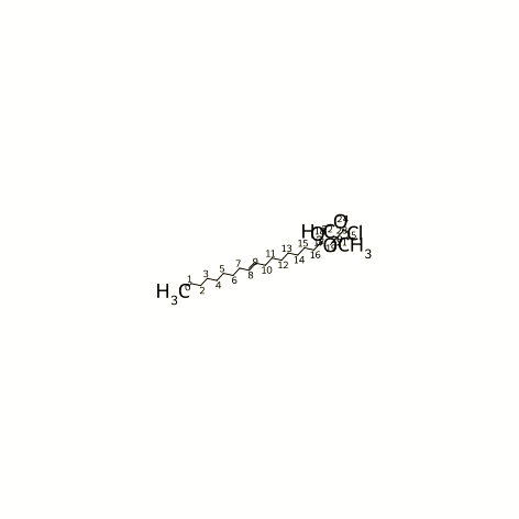 CCCCCCCCC=CCCCCCCCC(=O)OC(C)(C)C(=O)Cl